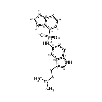 CN(C)CCc1c[nH]c2ccc(NS(=O)(=O)c3cccc4nsnc34)cc12